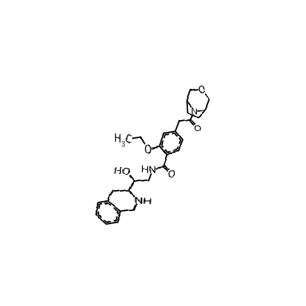 CCOc1cc(CC(=O)N2C3CCC2COC3)ccc1C(=O)NCC(O)C1Cc2ccccc2CN1